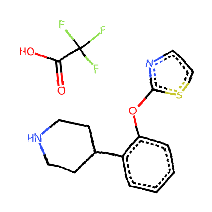 O=C(O)C(F)(F)F.c1ccc(C2CCNCC2)c(Oc2nccs2)c1